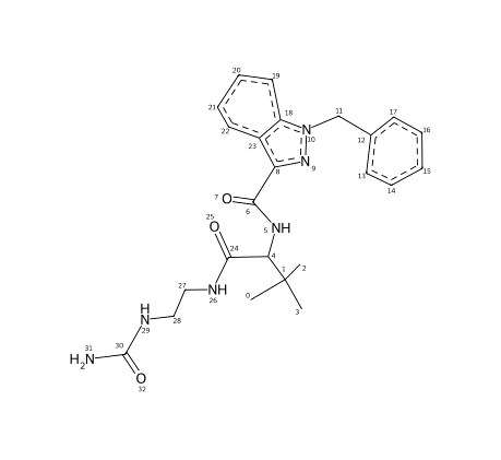 CC(C)(C)C(NC(=O)c1nn(Cc2ccccc2)c2ccccc12)C(=O)NCCNC(N)=O